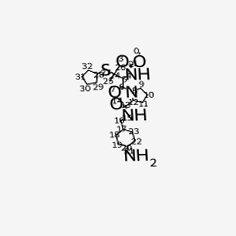 COC(=O)NC(C(=O)N1CCCC1C(=O)NCC1CCC(N)CC1)C(C)(C)SC1CCCC1